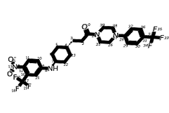 O=C(CC[C@H]1CC[C@H](Nc2ccc([N+](=O)[O-])c(C(F)(F)F)c2)CC1)N1CCN(c2ccc(C(F)(F)F)cc2)CC1